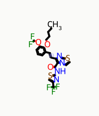 CCCCCOc1c(/C=C/c2nc3sccn3c2C(=O)Nc2nc(C(F)(F)F)cs2)cccc1OC(F)F